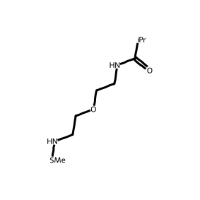 CSNCCOCCNC(=O)C(C)C